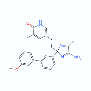 COc1cccc(-c2cccc(C3(CCc4c[nH]c(=O)c(C)c4)N=C(C)C(N)=N3)c2)c1